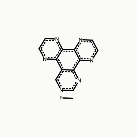 CF.c1cnc2c(n1)c1cncnc1c1nccnc21